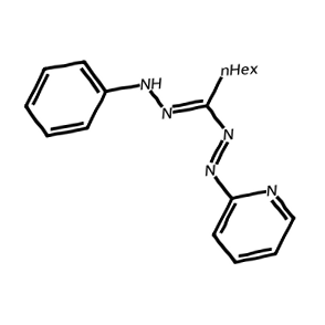 CCCCCCC(N=Nc1ccccn1)=NNc1ccccc1